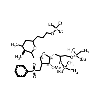 C=C1C(C)CC(CCCO[Si](CC)(CC)CC)OC1C[C@@H]1O[C@H](CC(CO[Si](C)(C)C(C)(C)C)O[Si](C)(C)C(C)(C)C)[C@H](OC)C1CS(=O)(=O)c1ccccc1